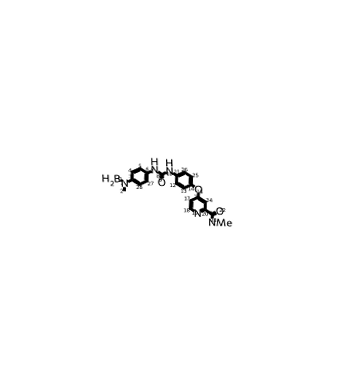 BN(C)c1ccc(NC(=O)Nc2ccc(Oc3ccnc(C(=O)NC)c3)cc2)cc1